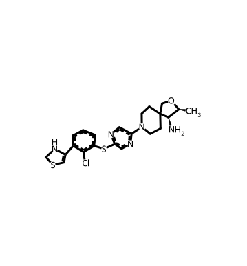 C[C@@H]1OCC2(CCN(c3cnc(Sc4cccc(C5=CSCN5)c4Cl)cn3)CC2)[C@@H]1N